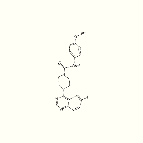 CC(C)Oc1ccc(NC(=O)N2CCC(c3ncnc4ccc(I)cc34)CC2)cc1